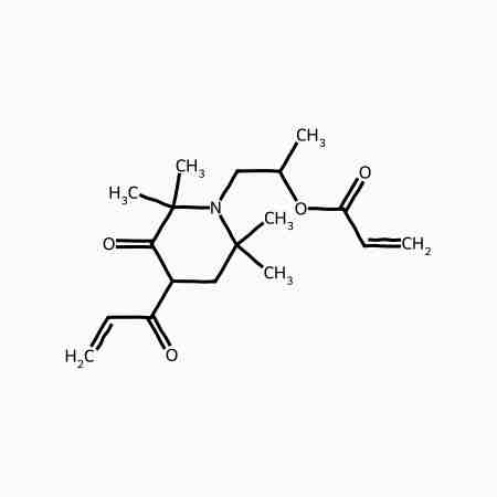 C=CC(=O)OC(C)CN1C(C)(C)CC(C(=O)C=C)C(=O)C1(C)C